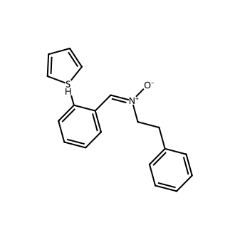 [O-]/[N+](=C/c1ccccc1[SH]1C=CC=C1)CCc1ccccc1